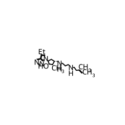 C/C=C(\C)CCNCCCNC[C@H]1C[C@@H](n2cc(CC)c3cncnc32)[C@H](O)[C@@H]1C